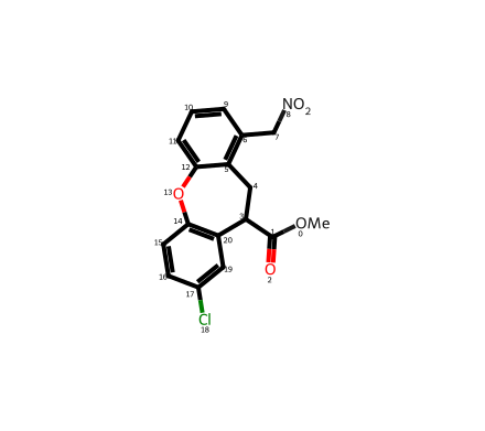 COC(=O)C1Cc2c(C[N+](=O)[O-])cccc2Oc2ccc(Cl)cc21